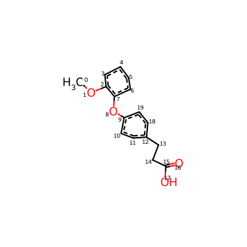 COc1ccccc1Oc1ccc(CCC(=O)O)cc1